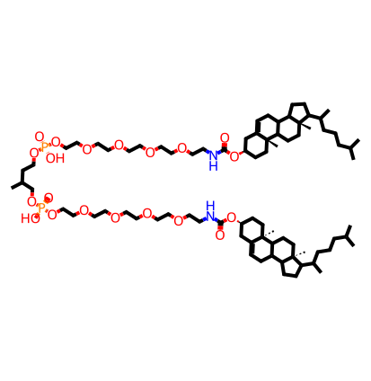 CC(C)CCCC(C)C1CCC2C3CC=C4C[C@H](OC(=O)NCCOCCOCCOCCOCCOP(=O)(O)OCCC(C)COP(=O)(O)OCCOCCOCCOCCOCCNC(=O)O[C@@H]5CC[C@]6(C)C(=CCC7C8CCC(C(C)CCCC(C)C)[C@]8(C)CCC76)C5)CC[C@@]4(C)C3CC[C@@]12C